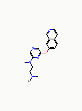 CC(=O)N(C)CCN(C)c1cncc(Oc2ccc3ccncc3c2)n1